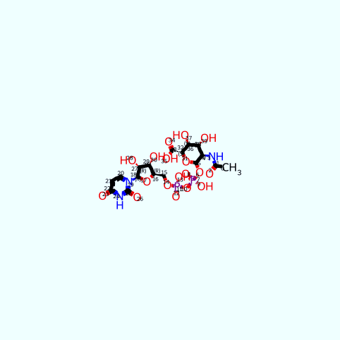 CC(=O)N[C@H]1C(OP(=O)(O)OP(=O)(O)OC[C@H]2O[C@@H](n3ccc(=O)[nH]c3=O)[C@H](O)[C@@H]2O)O[C@H](C(=O)O)[C@@H](O)[C@@H]1O